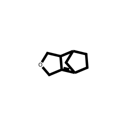 C1CC2CC1=C1COCC12